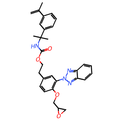 C=C(C)c1cccc(C(C)(C)NC(=O)OCCc2ccc(OCC3CO3)c(-n3nc4ccccc4n3)c2)c1